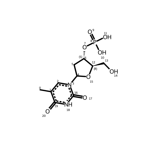 Cc1cn(C2C[C@H](OP(=O)(O)O)[C@@H](CO)O2)c(=O)[nH]c1=O